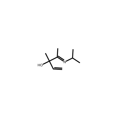 C=CC(C)(O)C(C)=NC(C)C